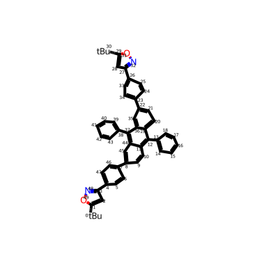 CC(C)(C)c1cc(-c2ccc(-c3ccc4c(-c5ccccc5)c5ccc(-c6ccc(-c7cc(C(C)(C)C)on7)cc6)cc5c(-c5ccccc5)c4c3)cc2)no1